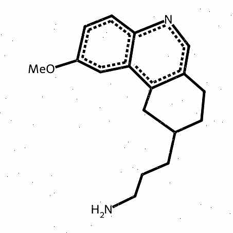 COc1ccc2ncc3c(c2c1)CC(CCCN)CC3